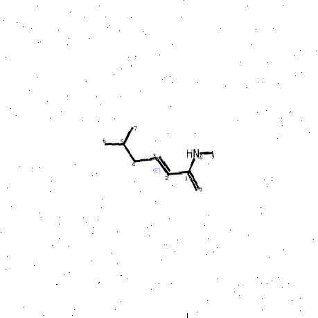 C=C(/C=C/CC(C)C)NC